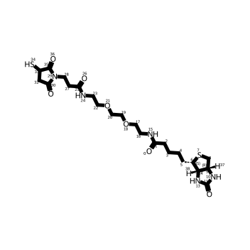 O=C(CCCC[C@@H]1SC[C@@H]2NC(=O)N[C@@H]21)NCCOCCOCCNC(=O)CCN1C(=O)CC(S)C1=O